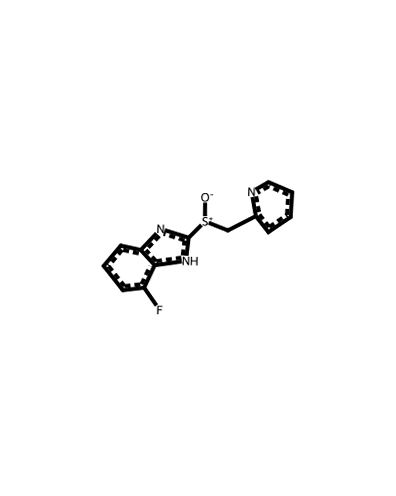 [O-][S+](Cc1ccccn1)c1nc2cccc(F)c2[nH]1